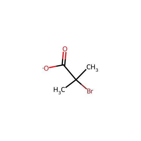 CC(C)(Br)C([O])=O